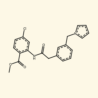 COC(=O)c1ccc(Cl)cc1NC(=O)Cc1cccc(Cn2cccc2)c1